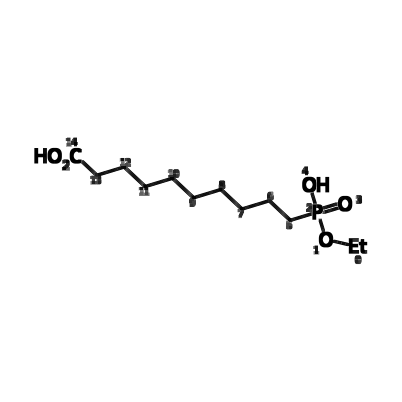 CCOP(=O)(O)CCCCCCCCCC(=O)O